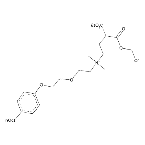 CCCCCCCCc1ccc(OCCOCC[N+](C)(C)CCC(C(=O)OCC)C(=O)OC[O-])cc1